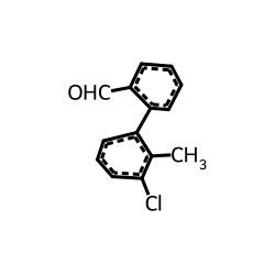 Cc1c(Cl)cccc1-c1ccccc1C=O